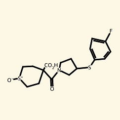 O=C(O)C1(C(=O)N2CCC(Sc3ccc(F)cc3)C2)CC[S+]([O-])CC1